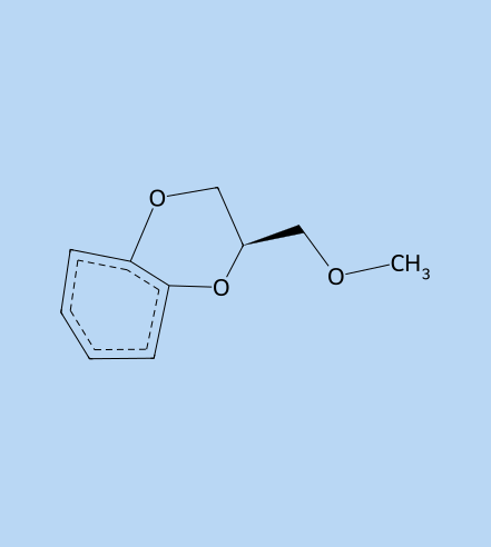 COC[C@@H]1COc2ccccc2O1